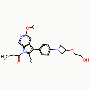 CCC(=O)n1c(C)c(-c2ccc(N3CC(OCCO)C3)cc2)c2cc(OC)ncc21